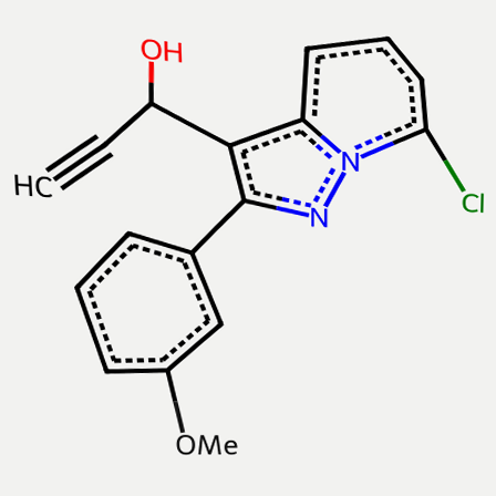 C#CC(O)c1c(-c2cccc(OC)c2)nn2c(Cl)cccc12